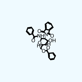 O=C(N[C@@H]1O[C@@H]2COC(c3ccccc3)O[C@H]2[C@H](O)[C@H]1N1C(=O)c2ccccc2C1=O)c1ccccc1